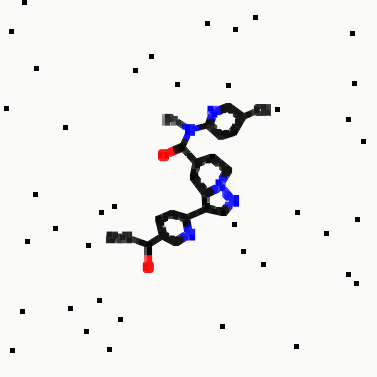 CNC(=O)c1ccc(-c2cnn3ccc(C(=O)N(c4ccc(C#N)cn4)C(C)C)cc23)nc1